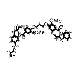 COc1cc2c(cc1OCCCOc1cc3c(cc1OC)C(=O)N1c4cc(COCCC(C)=O)ccc4C[C@H]1C=N3)N=C[C@@H]1Cc3ccccc3N1C2=O